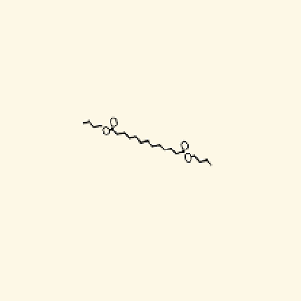 CCCCOC(=O)CCCCCCCCCCCC(=O)OCCCC